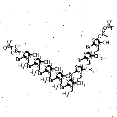 CC[n+]1c(C)csc1Br.CC[n+]1c(C)csc1Br.CC[n+]1c(C)csc1Br.CC[n+]1c(C)csc1Br.CC[n+]1c(C)csc1Br.CC[n+]1c(C)csc1Br.CC[n+]1c(C)csc1Br.CC[n+]1c(C)csc1Br.[O-]B([O-])F.[O-]B([O-])F.[O-]B([O-])F.[O-]B([O-])F